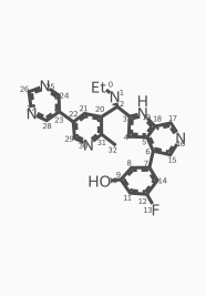 CC/N=C(/c1cc2c(-c3cc(O)cc(F)c3)cncc2[nH]1)c1cc(-c2cncnc2)cnc1C